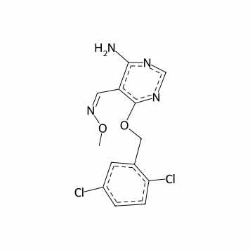 CO/N=C\c1c(N)ncnc1OCc1cc(Cl)ccc1Cl